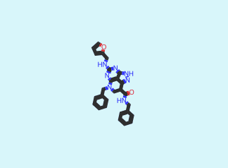 O=C(NCc1ccccc1)C1CN(Cc2ccccc2)c2nc(NCc3ccco3)nc3[nH]nc1c23